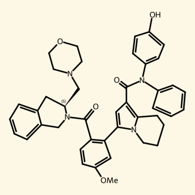 COc1ccc(C(=O)N2Cc3ccccc3C[C@H]2CN2CCOCC2)c(-c2cc(C(=O)N(c3ccccc3)c3ccc(O)cc3)c3n2CCCC3)c1